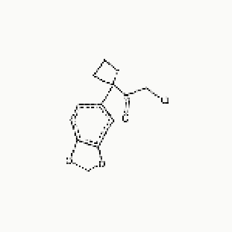 O=C(CCl)C1(c2ccc3c(c2)OCO3)CCC1